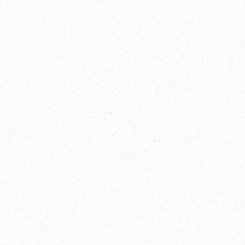 N/C(=N/O)c1cnc(NC2(c3c(F)cccc3F)CC2)nc1